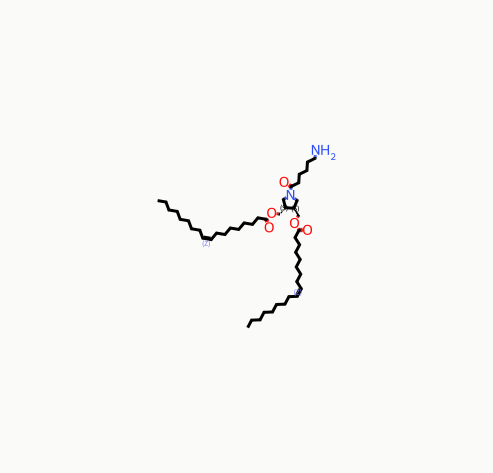 CCCCCCCC/C=C\CCCCCCCC(=O)OC[C@@H]1CN(C(=O)CCCCCN)C[C@H]1COC(=O)CCCCCCC/C=C\CCCCCCCC